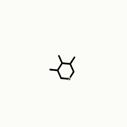 CC1C[N]CC(C)C1C